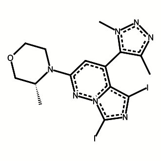 Cc1nnn(C)c1-c1cc(N2CCOC[C@H]2C)nn2c(I)nc(I)c12